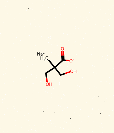 CC(CO)(CO)C(=O)[O-].[Na+]